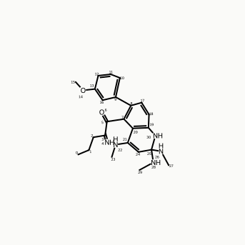 CCCC(=N)C(=O)c1c(-c2cccc(OC)c2)ccc2c1C(NC)=CC(NC)(NC)N2